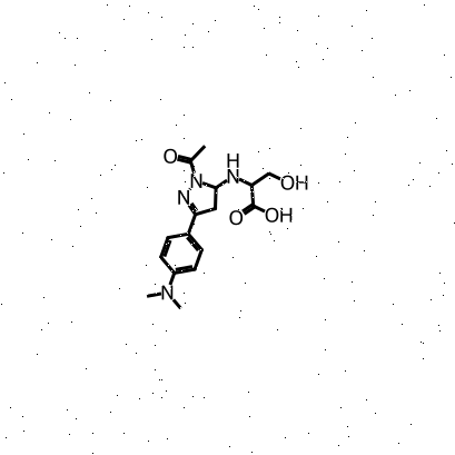 CC(=O)N1N=C(c2ccc(N(C)C)cc2)CC1NC(CO)C(=O)O